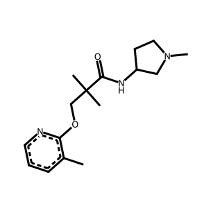 Cc1cccnc1OCC(C)(C)C(=O)NC1CCN(C)C1